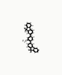 CC1(C)c2ccccc2-c2cc(-c3ccc(-c4ccc5c(c4)C(C)(C)c4ccccc4-5)cc3C(F)(F)F)ccc21